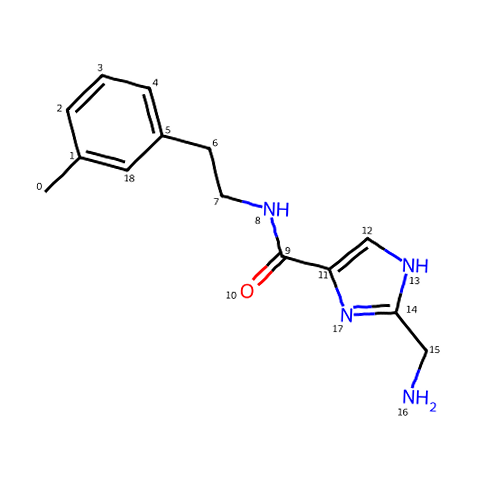 Cc1cccc(CCNC(=O)c2c[nH]c(CN)n2)c1